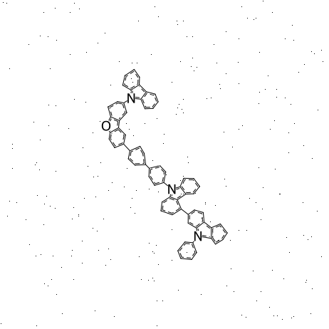 c1ccc(-n2c3ccccc3c3ccc(-c4cccc5c4c4ccccc4n5-c4ccc(-c5ccc(-c6ccc7oc8ccc(-n9c%10ccccc%10c%10ccccc%109)cc8c7c6)cc5)cc4)cc32)cc1